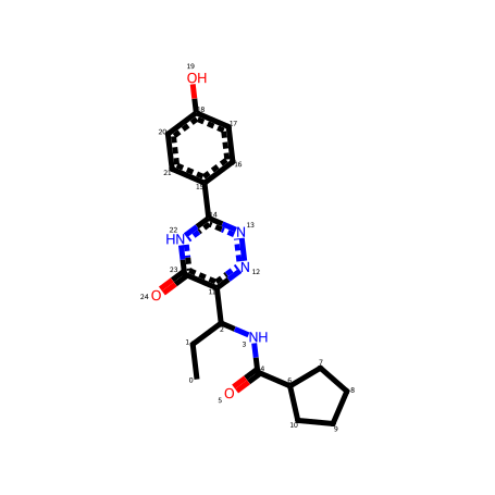 CCC(NC(=O)C1CCCC1)c1nnc(-c2ccc(O)cc2)[nH]c1=O